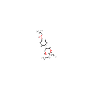 CCOc1ccc([C@H]2CO[C@](C)(CC)OC2)cc1